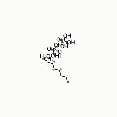 C.CCCCCCC.O.O=P(O)(O)O.O=P(O)(O)O